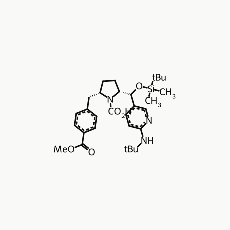 COC(=O)c1ccc(C[C@@H]2CC[C@H](C(O[Si](C)(C)C(C)(C)C)c3ccc(NC(C)(C)C)nc3)N2C(=O)O)cc1